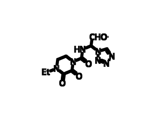 CCN1CCN(C(=O)NC([C]=O)n2cnnn2)C(=O)C1=O